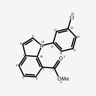 COC(=O)c1cccc2ccn(-c3cccc(Cl)c3)c12